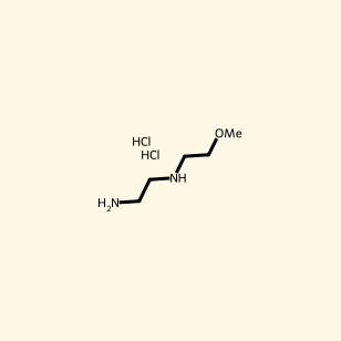 COCCNCCN.Cl.Cl